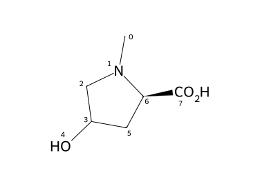 CN1CC(O)C[C@@H]1C(=O)O